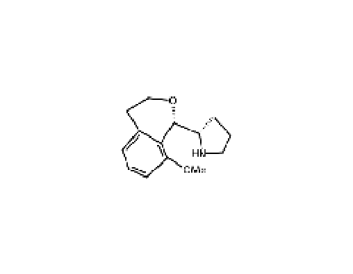 COc1cccc2c1[C@@H]([C@@H]1CCCN1)OCC2